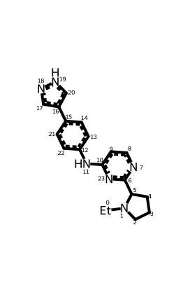 CCN1CCCC1c1nccc(Nc2ccc(-c3cn[nH]c3)cc2)n1